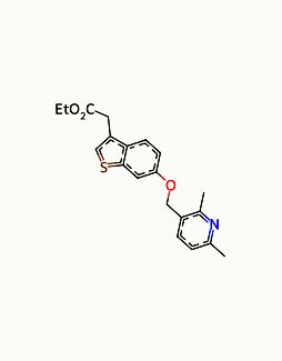 CCOC(=O)Cc1csc2cc(OCc3ccc(C)nc3C)ccc12